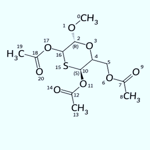 CO[C@@H]1OC(COC(C)=O)[C@@H](OC(C)=O)SC1OC(C)=O